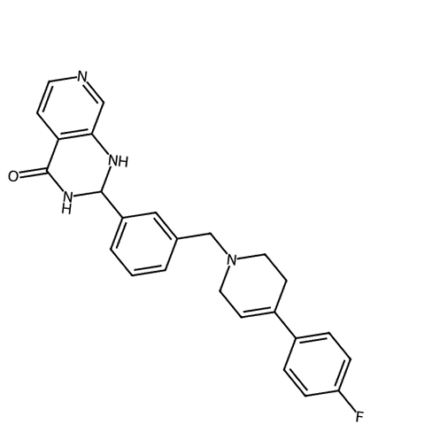 O=C1NC(c2cccc(CN3CC=C(c4ccc(F)cc4)CC3)c2)Nc2cnccc21